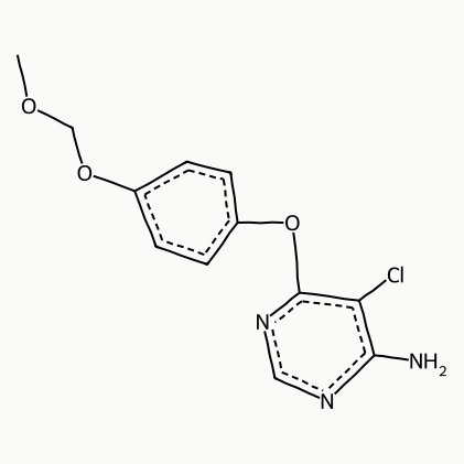 COCOc1ccc(Oc2ncnc(N)c2Cl)cc1